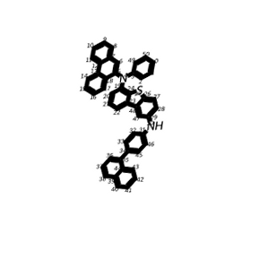 c1ccc(N(c2cc3ccccc3c3ccccc23)c2cccc3c2sc2ccc(Nc4ccc(-c5cccc6ccccc56)cc4)cc23)cc1